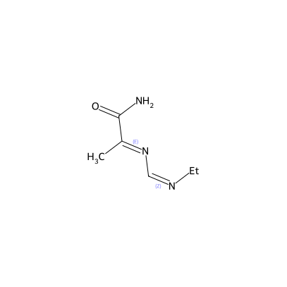 CC/N=C\N=C(/C)C(N)=O